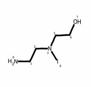 NCCN(I)CCO